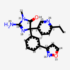 CCc1ccc(C2(c3cccc(-c4ccon4)c3)N=C(N)N(C)C2=O)cn1